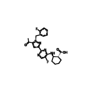 CC(=O)c1cc(-c2ncc(F)c(N[C@@H]3CCCC[C@H]3C(=O)O)n2)nn1Cc1ccccc1F